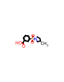 CC1CCN(S(=O)(=O)c2cccc(C(=O)O)c2)C1